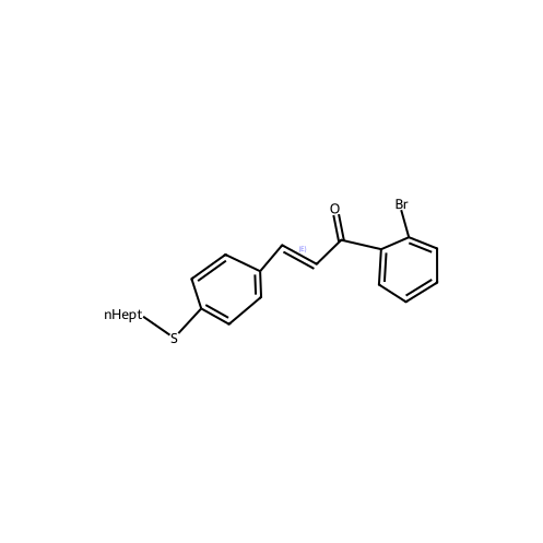 CCCCCCCSc1ccc(/C=C/C(=O)c2ccccc2Br)cc1